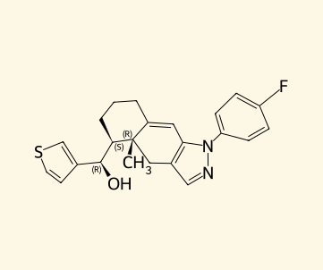 C[C@]12Cc3cnn(-c4ccc(F)cc4)c3C=C1CCC[C@@H]2[C@@H](O)c1ccsc1